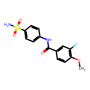 COc1ccc(C(=O)Nc2ccc(S(N)(=O)=O)cc2)cc1F